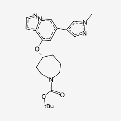 Cn1cc(-c2cc(O[C@@H]3CCCN(C(=O)OC(C)(C)C)CC3)c3ccnn3c2)cn1